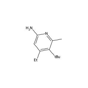 CCc1cc(N)nc(C)c1C(C)(C)C